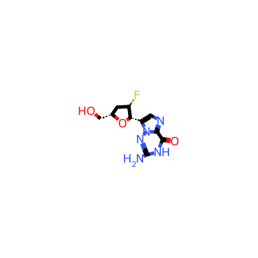 Nc1nn2c([C@@H]3O[C@H](CO)C[C@H]3F)cnc2c(=O)[nH]1